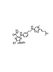 CCc1nc(C(N)=O)c(Nc2cccc(CCNC(=O)CN(C)C(=O)/C=C/CN(C)C)c2)nc1NC(C)C